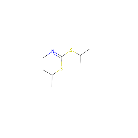 CN=C(SC(C)C)SC(C)C